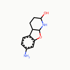 Nc1ccc2c(c1)OC1NC(O)CCC21